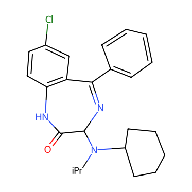 CC(C)N(C1CCCCC1)C1N=C(c2ccccc2)c2cc(Cl)ccc2NC1=O